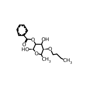 CCCCO[C@H]1C(C)O[C@@H](O)C(OC(=O)c2ccccc2)C1O